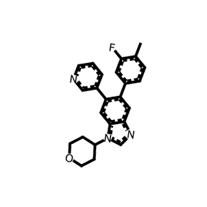 Cc1ccc(-c2cc3ncn(C4CCOCC4)c3cc2-c2cccnc2)cc1F